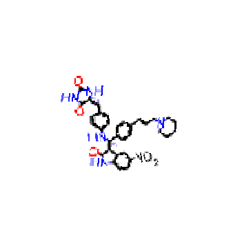 O=C1NC(=O)/C(=C\c2ccc(N/C(=C3\C(=O)Nc4ccc([N+](=O)[O-])cc43)c3ccc(CCCN4CCCCC4)cc3)cc2)N1